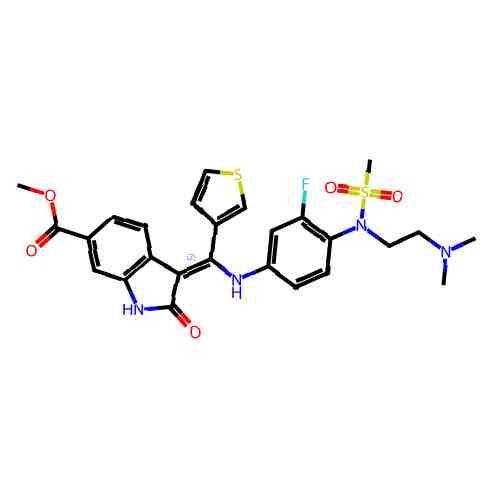 COC(=O)c1ccc2c(c1)NC(=O)/C2=C(\Nc1ccc(N(CCN(C)C)S(C)(=O)=O)c(F)c1)c1ccsc1